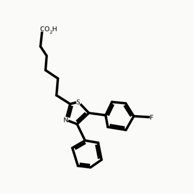 O=C(O)CCCCCc1nc(-c2ccccc2)c(-c2ccc(F)cc2)s1